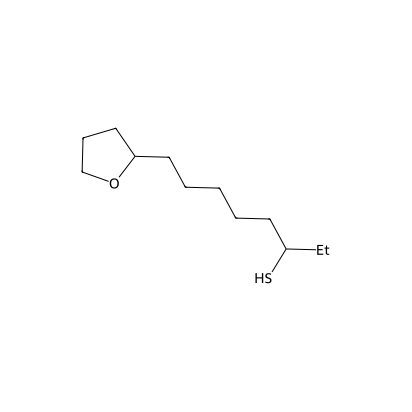 CCC(S)CCCCCC1CCCO1